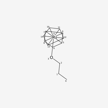 CCCO[C]12[CH]3[CH]4[CH]5[CH]1[Ru]45321678[CH]2[CH]1[CH]6[CH]7[CH]28